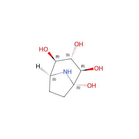 O[C@H]1[C@H](O)[C@@H](O)[C@@]2(O)CC[C@@H]1N2